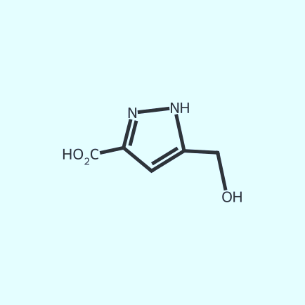 O=C(O)c1cc(CO)[nH]n1